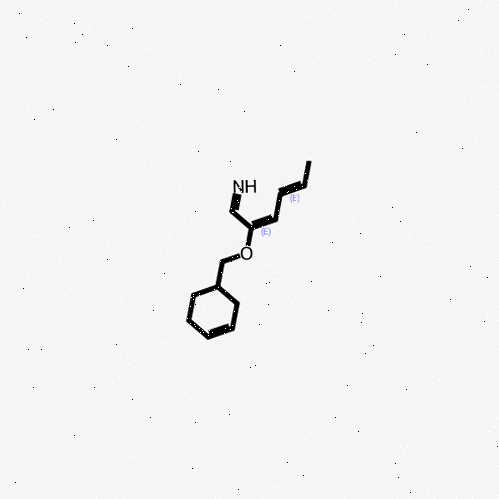 C/C=C/C=C(\C=N)OCC1CC=CCC1